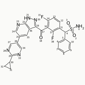 NS(=O)(=O)C(c1ccccc1)c1ccc(F)c(C(=O)c2n[nH]c3ncc(-c4cnc(C5CC5)nc4)cc23)c1F